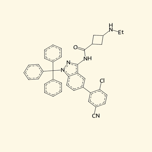 CCNC1CC(C(=O)Nc2nn(C(c3ccccc3)(c3ccccc3)c3ccccc3)c3ccc(-c4cc(C#N)ccc4Cl)cc23)C1